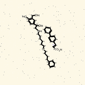 O=C(O)/C=C/c1ccc(-c2ccccc2)cc1.OCc1cc(C(O)CNCCCCCCOCCCCc2ccccc2)ccc1O